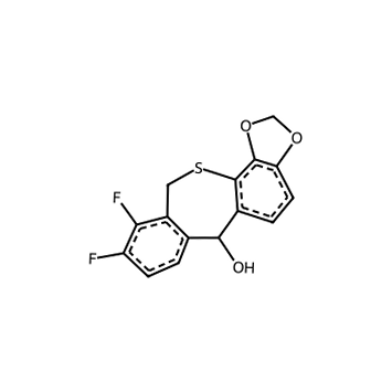 OC1c2ccc(F)c(F)c2CSc2c1ccc1c2OCO1